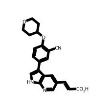 N#Cc1cc(-c2c[nH]c3ncc(C=CC(=O)O)cc23)ccc1OC1CCOCC1